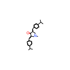 CC(C)c1ccc(C=C2CN(C)CC(=Cc3ccc(C(C)C)cc3)C2=O)cc1